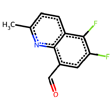 Cc1ccc2c(F)c(F)cc(C=O)c2n1